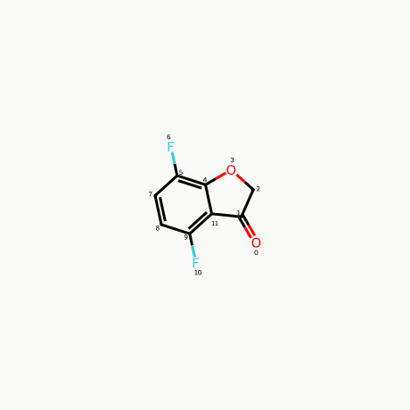 O=C1COc2c(F)ccc(F)c21